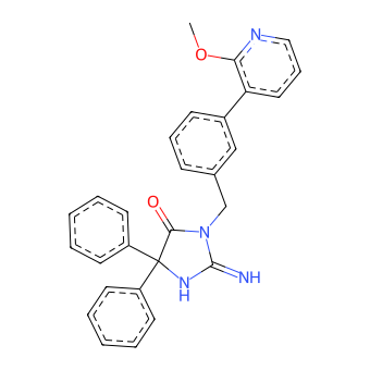 COc1ncccc1-c1cccc(CN2C(=N)NC(c3ccccc3)(c3ccccc3)C2=O)c1